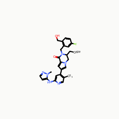 COCC1Cn2cc(-c3cc(Nc4ccnn4C)ncc3C(F)(F)F)cc2C(=O)N1Cc1cc(F)ccc1CO